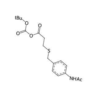 CC(=O)Nc1ccc(CSCCC(=O)OC(=O)OC(C)(C)C)cc1